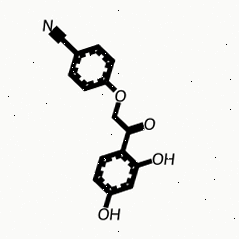 N#Cc1ccc(OCC(=O)c2ccc(O)cc2O)cc1